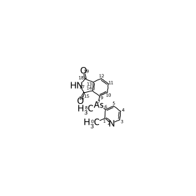 Cc1ncccc1[As](C)c1cccc2c1C(=O)NC2=O